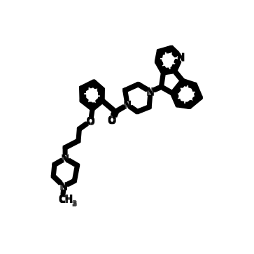 CN1CCN(CCCOc2ccccc2C(=O)N2CCN(C3c4ccccc4-c4ncccc43)CC2)CC1